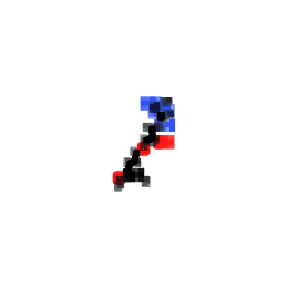 CO[SiH2]CCCOCC(O)CNc1nn[nH]n1